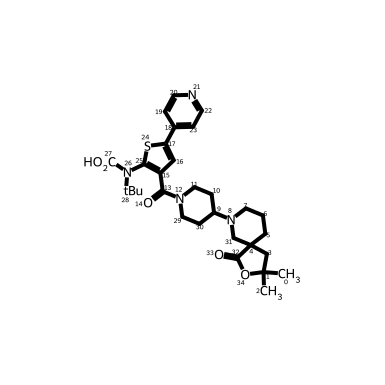 CC1(C)CC2(CCCN(C3CCN(C(=O)c4cc(-c5ccncc5)sc4N(C(=O)O)C(C)(C)C)CC3)C2)C(=O)O1